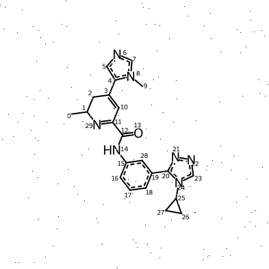 CC1CC(c2cncn2C)=CC(C(=O)Nc2cccc(-c3nncn3C3CC3)c2)=N1